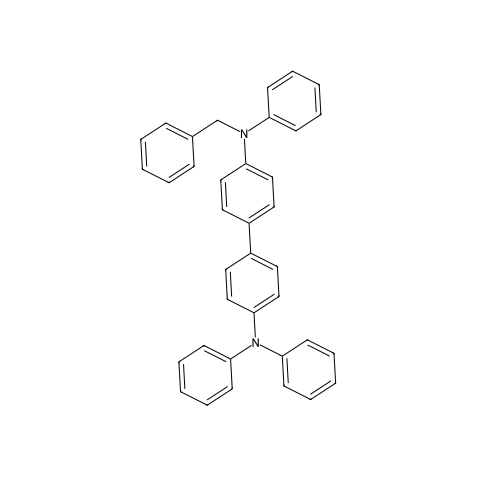 c1ccc(CN(c2ccccc2)c2ccc(-c3ccc(N(c4ccccc4)c4ccccc4)cc3)cc2)cc1